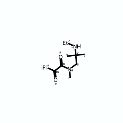 CCNC(C)(C)CN(C)C(=O)C(=O)C(C)C